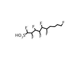 O=S(=O)(O)C(F)C(F)C(F)C(F)C(F)C(F)CCCCF